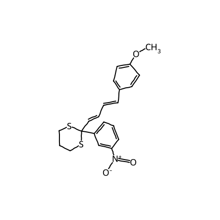 COc1ccc(/C=C/C=C/C2(c3cccc([N+](=O)[O-])c3)SCCCS2)cc1